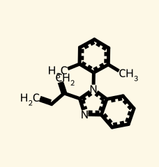 C=CC(=C)c1nc2ccccc2n1-c1c(C)cccc1C